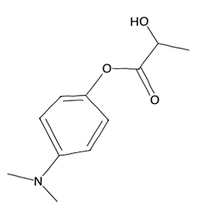 CC(O)C(=O)Oc1ccc(N(C)C)cc1